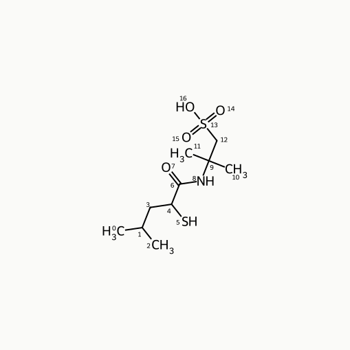 CC(C)CC(S)C(=O)NC(C)(C)CS(=O)(=O)O